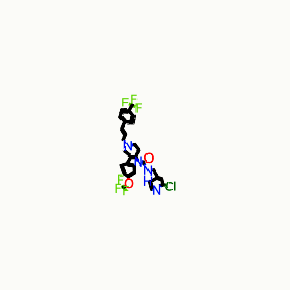 O=C(NCc1ccnc(Cl)c1)n1c2c(c3ccc(OC(F)(F)F)cc31)CN(CC=Cc1ccc(C(F)(F)F)cc1)CC2